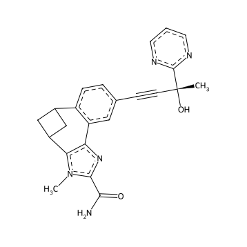 Cn1c(C(N)=O)nc2c1C1CC(C1)c1ccc(C#C[C@@](C)(O)c3ncccn3)cc1-2